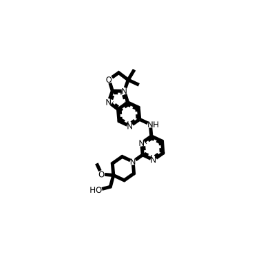 COC1(CO)CCN(c2nccc(Nc3cc4c(cn3)nc3n4C(C)(C)CO3)n2)CC1